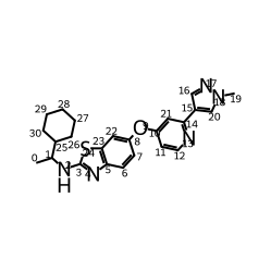 CC(Nc1nc2ccc(Oc3ccnc(-c4cnn(C)c4)c3)cc2s1)C1CCCCC1